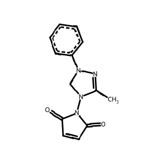 CC1=NN(c2ccccc2)CN1N1C(=O)C=CC1=O